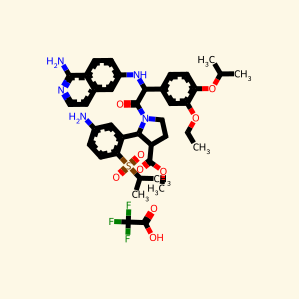 CCOc1cc(C(Nc2ccc3c(N)nccc3c2)C(=O)N2CCC(C(=O)OC)C2c2cc(N)ccc2S(=O)(=O)C(C)C)ccc1OC(C)C.O=C(O)C(F)(F)F